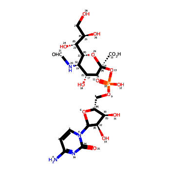 Nc1ccn(C2O[C@H](COP(=O)(O)O[C@@]3(C(=O)O)C[C@H](O)[C@H](NC=O)[C@H]([C@H](O)[C@H](O)CO)O3)[C@@H](O)[C@H]2O)c(=O)n1